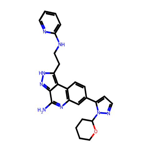 Nc1nc2cc(-c3ccnn3C3CCCCO3)ccc2c2c(CCNc3ccccn3)[nH]nc12